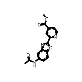 COC(=O)c1ccnc(-c2nc3cc(NC(C)=O)ccc3o2)c1